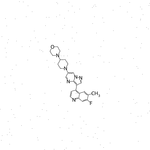 Cc1cc2c(-c3cnn4cc(N5CCC(N6CCOCC6)CC5)cnc34)ccnc2cc1F